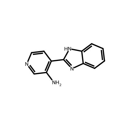 Nc1cnccc1-c1nc2ccccc2[nH]1